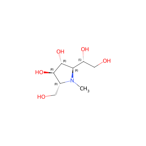 CN1[C@H]([C@H](O)CO)[C@@H](O)[C@H](O)[C@H]1CO